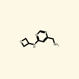 NCc1cc(NC2COC2)ncn1